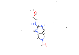 BN1Cc2cnc(NCCOC)nc2C1